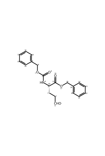 O=[C]CC[C@H](NC(=O)OCc1ccccc1)C(=O)OCc1ccccc1